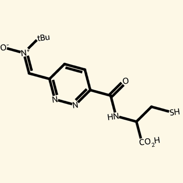 CC(C)(C)/[N+]([O-])=C\c1ccc(C(=O)NC(CS)C(=O)O)nn1